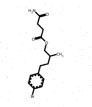 CC(CCc1ccc(Br)cc1)COC(=O)CCC(N)=O